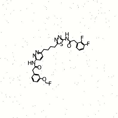 O=C(Cc1cccc(OCF)c1)Nc1ccc(CCCCc2nnc(NC(=O)Cc3cccc(F)c3F)s2)nn1